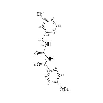 CC(C)(C)c1ccc(C(=O)NC(=S)NCc2cccc(Cl)c2)cc1